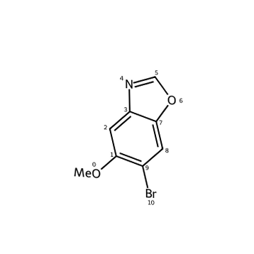 COc1cc2ncoc2cc1Br